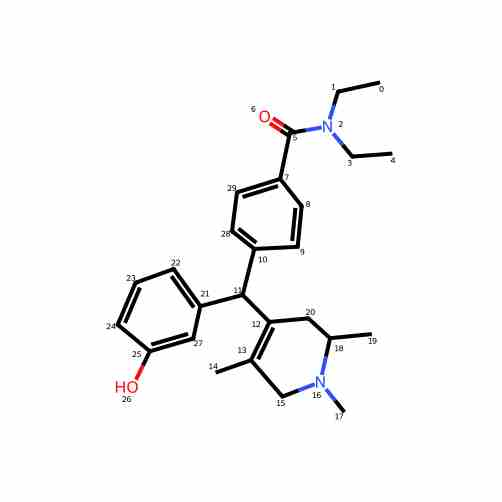 CCN(CC)C(=O)c1ccc(C(C2=C(C)CN(C)C(C)C2)c2cccc(O)c2)cc1